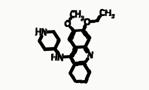 CCOc1cc2nc3c(c(NC4CCNCC4)c2cc1OC)CCCC3